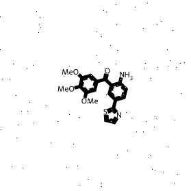 COc1cc(C(=O)c2cc(-c3nccs3)ccc2N)cc(OC)c1OC